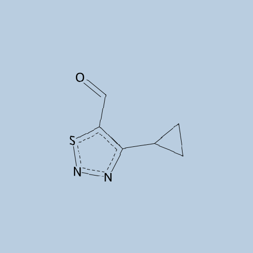 O=Cc1snnc1C1CC1